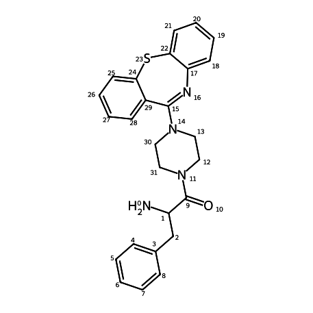 NC(Cc1ccccc1)C(=O)N1CCN(C2=Nc3ccccc3Sc3ccccc32)CC1